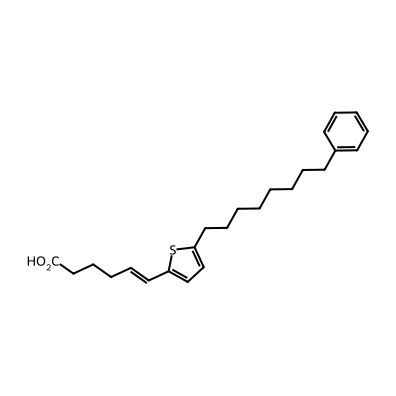 O=C(O)CCCC=Cc1ccc(CCCCCCCCc2ccccc2)s1